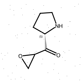 O=C(C1CO1)[C@@H]1CCCN1